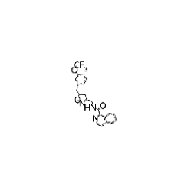 O=C(NCC1=NOC(Cc2cccc(OC(F)(F)F)c2)C1)c1nccc2ccccc12